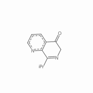 CC(C)C1=NCC(=O)c2cccnc21